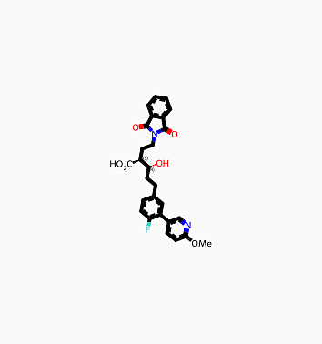 COc1ccc(-c2cc(CC[C@@H](O)[C@H](CCN3C(=O)c4ccccc4C3=O)C(=O)O)ccc2F)cn1